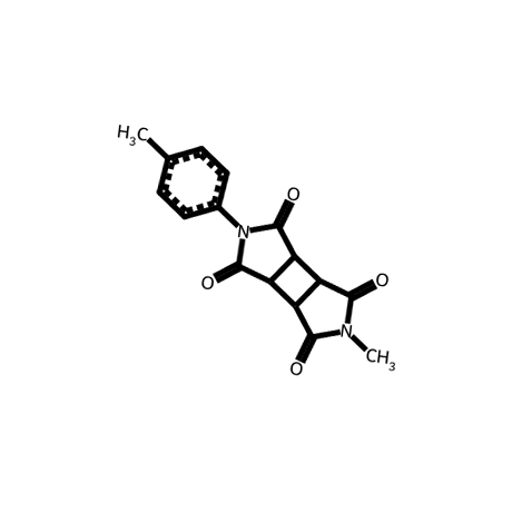 Cc1ccc(N2C(=O)C3C4C(=O)N(C)C(=O)C4C3C2=O)cc1